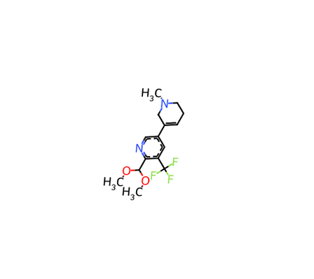 COC(OC)c1ncc(C2=CCCN(C)C2)cc1C(F)(F)F